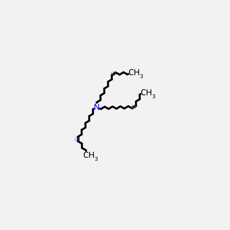 CCCC/C=C\CCCCCCCCN(CCCCCCCC/C=C\CCCC)CCCCCCCC/C=C\CCCC